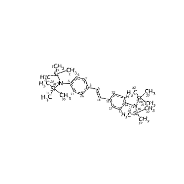 C[Si](C)(C)N(c1ccc(C=Cc2ccc(N([Si](C)(C)C)[Si](C)(C)C)cc2)cc1)[Si](C)(C)C